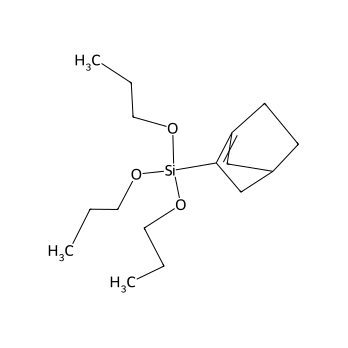 CCCO[Si](OCCC)(OCCC)C1=C2CCC(C2)C1